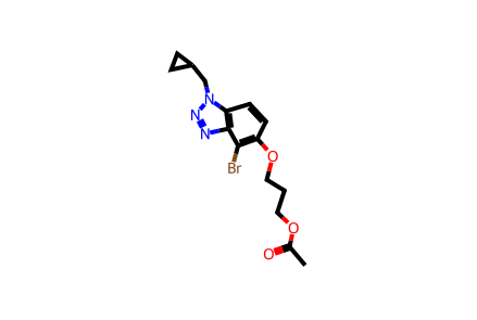 CC(=O)OCCCOc1ccc2c(nnn2CC2CC2)c1Br